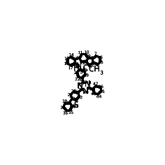 CC1(C)c2ccccc2-c2ccc3c4ccccc4n(-c4ccc(-c5nc(C6=CCC7C(=C6)Sc6ccccc67)nc(-c6ccccc6)n5)cc4)c3c21